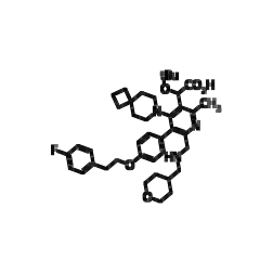 Cc1nc(CNCC2CCOCC2)c(-c2ccc(OCCc3ccc(F)cc3)cc2)c(N2CCC3(CCC3)CC2)c1C(OC(C)(C)C)C(=O)O